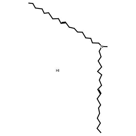 CCCCCCCCC=CCCCCCCCCN(C)CCCCCCCCC=CCCCCCCCC.I